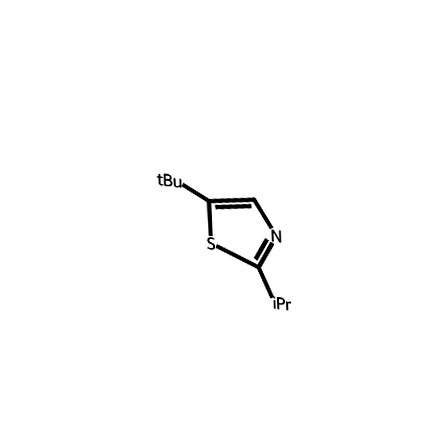 CC(C)c1ncc(C(C)(C)C)s1